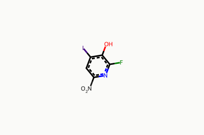 O=[N+]([O-])c1cc(I)c(O)c(F)n1